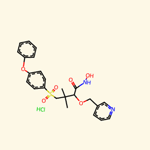 CC(C)(CS(=O)(=O)c1ccc(Oc2ccccc2)cc1)C(OCc1cccnc1)C(=O)NO.Cl